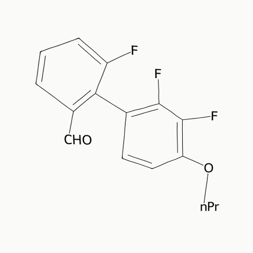 CCCOc1ccc(-c2c(F)cccc2C=O)c(F)c1F